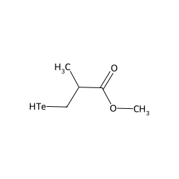 COC(=O)C(C)C[TeH]